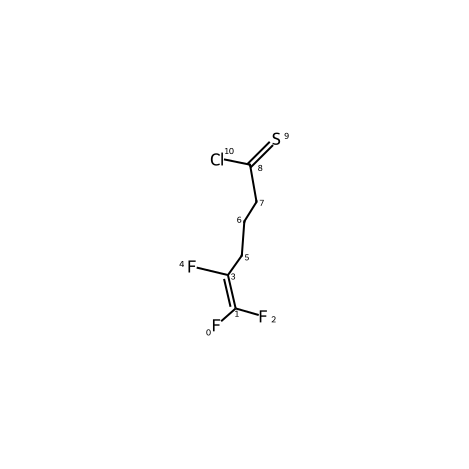 FC(F)=C(F)CCCC(=S)Cl